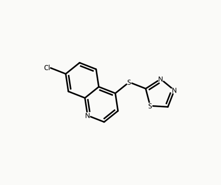 Clc1ccc2c(Sc3nncs3)ccnc2c1